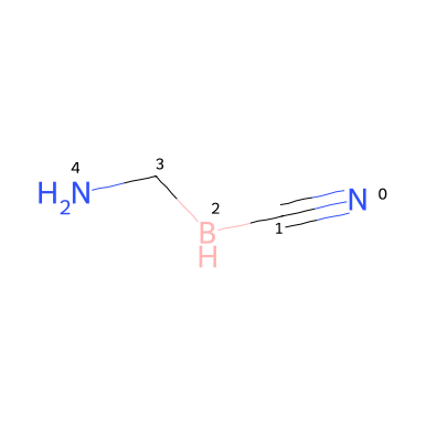 N#CBCN